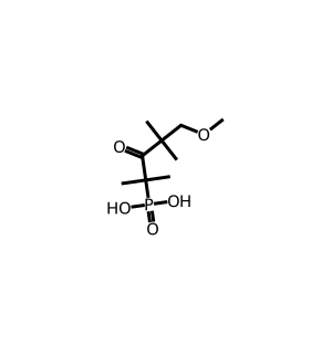 COCC(C)(C)C(=O)C(C)(C)P(=O)(O)O